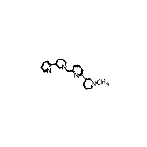 CN1CCC[C@@H](c2cccc(CN3CCCC(c4ccccn4)C3)n2)C1